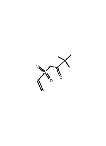 C=CS(=O)(=O)CC(=O)C(C)(C)C